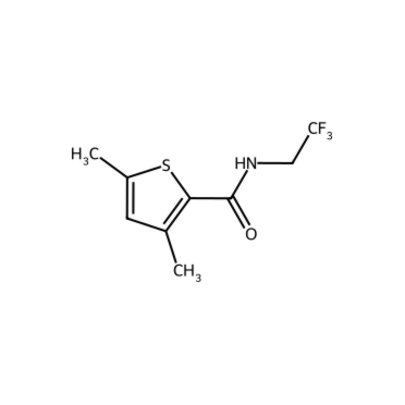 Cc1cc(C)c(C(=O)NCC(F)(F)F)s1